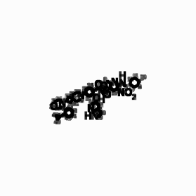 Cc1nc(NC[C@H]2CC[C@@H](C)CC2)c([N+](=O)[O-])cc1S(=O)(=O)NC(=O)c1ccc(N2CCC3(CC2)CC(N2CCOC[C@H]2c2ccccc2C2CC2)C3)cc1Oc1cnc2[nH]ccc2c1